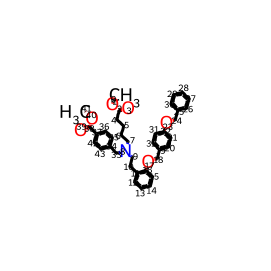 COC(=O)CCCCN(CCc1ccccc1OCc1ccc(OCc2ccccc2)cc1)Cc1ccc(C(=O)OC)cc1